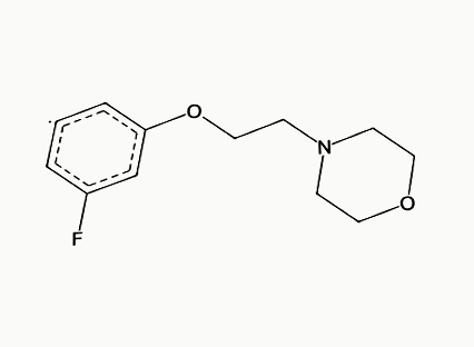 Fc1c[c]cc(OCCN2CCOCC2)c1